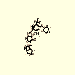 Cn1c(Nc2ccc(CN3CCOCC3)c(C(F)(F)F)c2)nc2ncc(Oc3cnn4ccncc34)c(Cl)c21